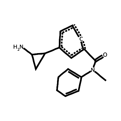 CN(C(=O)c1cccc(C2CC2N)c1)C1=CCCC=C1